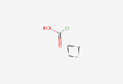 C1CCC1.O=C(O)Cl